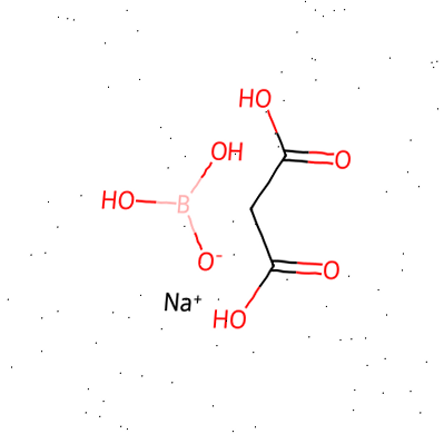 O=C(O)CC(=O)O.[Na+].[O-]B(O)O